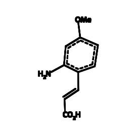 COc1ccc(C=CC(=O)O)c(N)c1